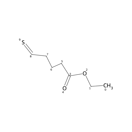 CCOC(=O)CCCC=S